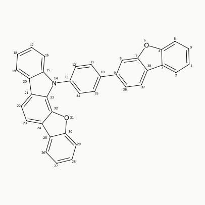 c1ccc2c(c1)oc1cc(-c3ccc(-n4c5ccccc5c5ccc6c7ccccc7oc6c54)cc3)ccc12